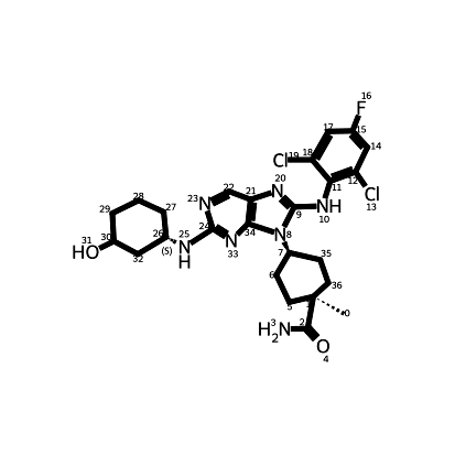 C[C@]1(C(N)=O)CC[C@@H](n2c(Nc3c(Cl)cc(F)cc3Cl)nc3cnc(N[C@H]4CCCC(O)C4)nc32)CC1